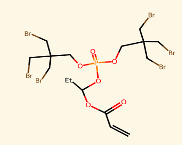 C=CC(=O)OC(CC)OP(=O)(OCC(CBr)(CBr)CBr)OCC(CBr)(CBr)CBr